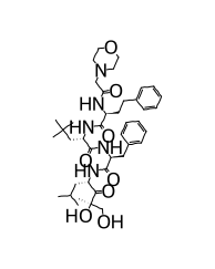 CC(C)C[C@H](NC(=O)[C@H](Cc1ccccc1)NC(=O)[C@H](CC(C)(C)C)NC(=O)[C@H](CCc1ccccc1)NC(=O)CN1CCOCC1)C(=O)[C@](C)(O)CO